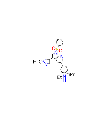 CCCC1(NCC)CCC(c2cnc3c(c2)c(-c2cnn(C)c2)cn3S(=O)(=O)c2ccccc2)CC1